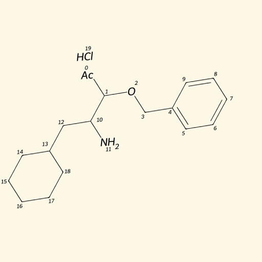 CC(=O)C(OCc1ccccc1)C(N)CC1CCCCC1.Cl